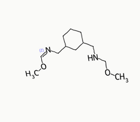 CO/C=N\CC1CCCC(CNCOC)C1